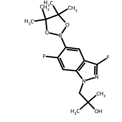 CC(C)(O)Cn1nc(F)c2cc(B3OC(C)(C)C(C)(C)O3)c(F)cc21